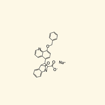 O=C([O-])C1C(c2ccc(OCc3ccccc3)c3ncccc23)C2C(=O)N1c1ccccc12.[Na+]